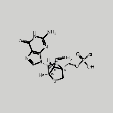 C=C[C@H]1[C@H]2OC[C@]1(COP(=O)(O)S)O[C@H]2n1cnc2c(=O)[nH]c(N)nc21